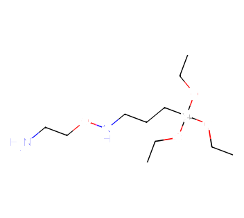 CCO[Si](CCCNOCCN)(OCC)OCC